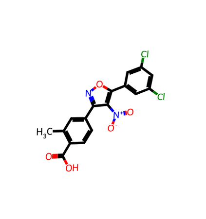 Cc1cc(-c2noc(-c3cc(Cl)cc(Cl)c3)c2[N+](=O)[O-])ccc1C(=O)O